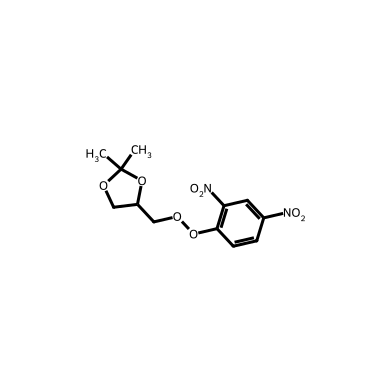 CC1(C)OCC(COOc2ccc([N+](=O)[O-])cc2[N+](=O)[O-])O1